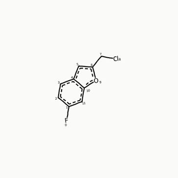 Fc1ccc2cc(CCl)oc2c1